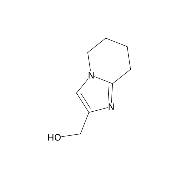 OCc1cn2c(n1)CCCC2